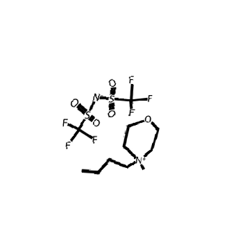 CCCC[N+]1(C)CCOCC1.O=S(=O)([N-]S(=O)(=O)C(F)(F)F)C(F)(F)F